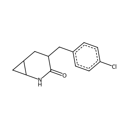 O=C1NC2CC2CC1Cc1ccc(Cl)cc1